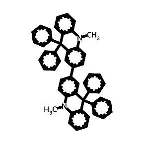 CN1c2ccccc2C(c2ccccc2)(c2ccccc2)c2cc(-c3ccc4c(c3)C(c3ccccc3)(c3ccccc3)c3ccccc3N4C)ccc21